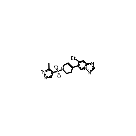 CCc1cc2ncnn2cc1C1=CCN(S(=O)(=O)c2cnn(C)c2C)CC1